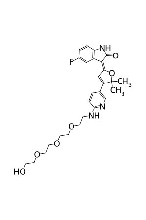 CC1(C)OC(=C2C(=O)Nc3ccc(F)cc32)C=C1c1ccc(NCCOCCOCCOCCO)nc1